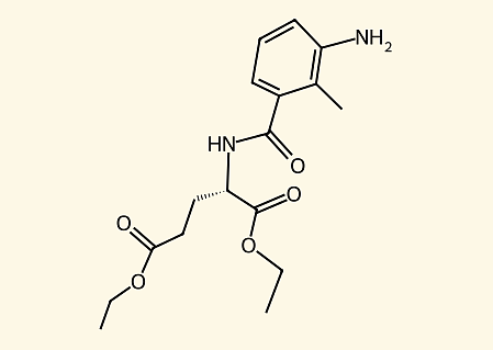 CCOC(=O)CC[C@H](NC(=O)c1cccc(N)c1C)C(=O)OCC